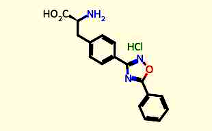 Cl.N[C@@H](Cc1ccc(-c2noc(-c3ccccc3)n2)cc1)C(=O)O